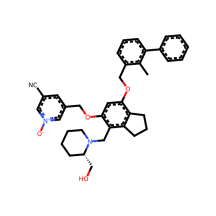 Cc1c(COc2cc(OCc3cc(C#N)c[n+]([O-])c3)c(CN3CCCC[C@H]3CO)c3c2CCC3)cccc1-c1ccccc1